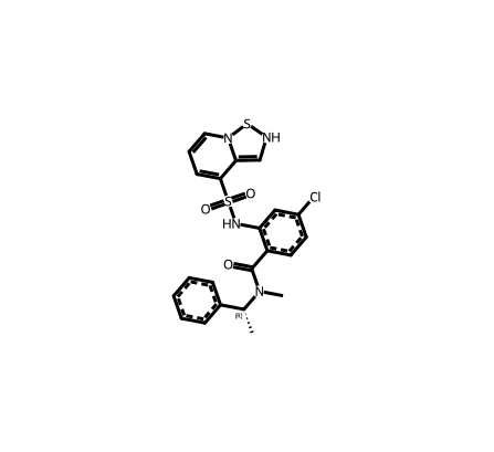 C[C@H](c1ccccc1)N(C)C(=O)c1ccc(Cl)cc1NS(=O)(=O)C1=CC=CN2SNC=C12